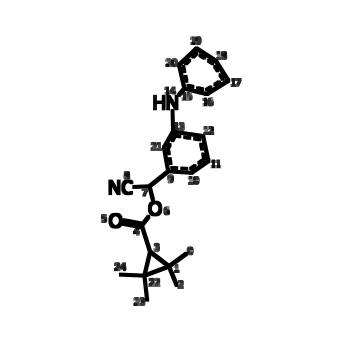 CC1(C)C(C(=O)OC(C#N)c2cccc(Nc3ccccc3)c2)C1(C)C